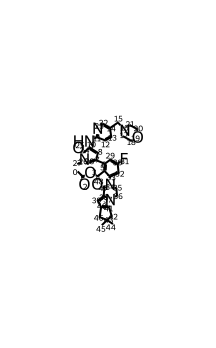 CC(=O)OCc1c(-c2cc(Nc3ccc(CN4CCOCC4)cn3)c(=O)n(C)c2)cc(F)cc1N1CCn2c(cc3c2CC(C)(C)C3)C1=O